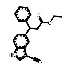 CCOC(=O)CC(c1ccccc1)c1ccc2[nH]cc(C#N)c2c1